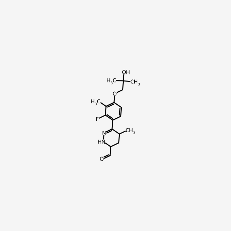 Cc1c(OCC(C)(C)O)ccc(C2=NNC(C=O)CC2C)c1F